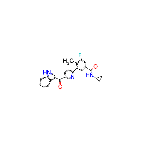 Cc1c(F)cc(C(=O)NC2CC2)cc1-c1ccc(C(=O)c2c[nH]c3ccccc23)cn1